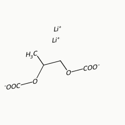 CC(COC(=O)[O-])OC(=O)[O-].[Li+].[Li+]